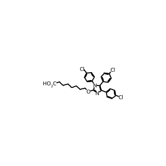 O=C(O)CCCCCCCOc1nc(-c2ccc(Cl)cc2)c(-c2ccc(Cl)cc2)n1-c1ccc(Cl)cc1